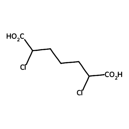 O=C(O)C(Cl)CCCC(Cl)C(=O)O